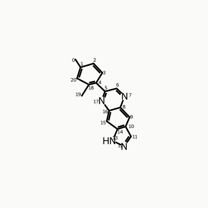 Cc1ccc(-c2cnc3cc4cn[nH]c4cc3n2)c(C)c1